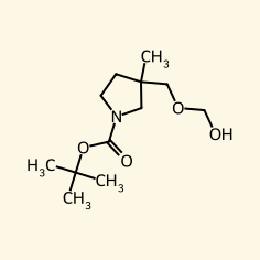 CC1(COCO)CCN(C(=O)OC(C)(C)C)C1